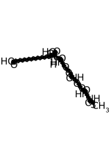 CSCC(=O)NCCNC(=O)COCCOCCNC(=O)COCCOCCNC(=O)CC[C@H](NC(=O)CCCCCCCCCCCCCCCCC(=O)O)C(=O)O